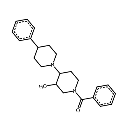 O=C(c1ccccc1)N1CCC(N2CCC(c3ccccc3)CC2)C(O)C1